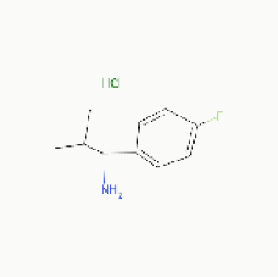 CC(C)C(N)c1ccc(F)cc1.Cl